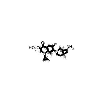 N[C@@H]1C[C@@H]2CCN(c3c(F)cc4c(=O)c(C(=O)O)cn(C5CC5)c4c3F)C[C@@H]21